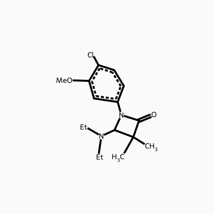 CCN(CC)C1N(c2ccc(Cl)c(OC)c2)C(=O)C1(C)C